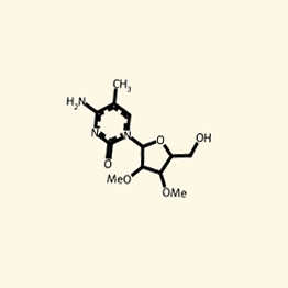 COC1C(CO)OC(n2cc(C)c(N)nc2=O)C1OC